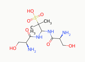 CC(C)(C(NC(=O)[C@@H](N)CO)NC(=O)[C@@H](N)CO)S(=O)(=O)O